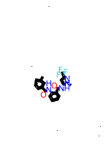 Cc1cccc(C(=O)Nc2ccccc2C(=O)Nc2cc(C(F)(F)F)nn2C)c1